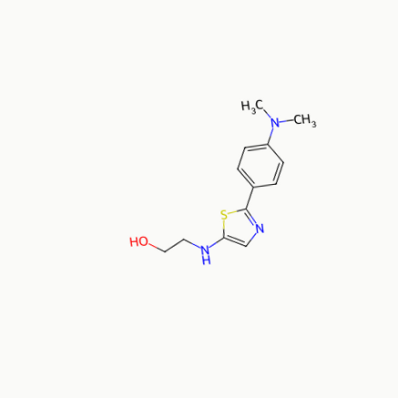 CN(C)c1ccc(-c2ncc(NCCO)s2)cc1